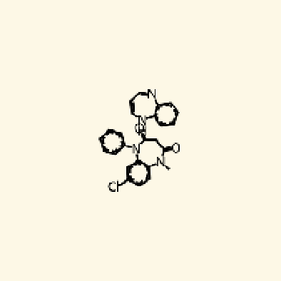 C1=CNc2ccccc2N=C1.CN1C(=O)CC(=O)N(c2ccccc2)c2cc(Cl)ccc21